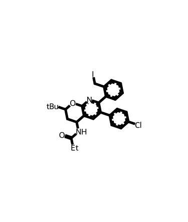 CCC(=O)NC1CC(C(C)(C)C)Oc2nc(-c3ccccc3CI)c(-c3ccc(Cl)cc3)cc21